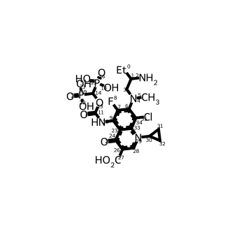 CCC(N)CN(C)c1c(F)c(NC(=O)OC(P(=O)(O)O)P(=O)(O)O)c2c(=O)c(C(=O)O)cn(C3CC3)c2c1Cl